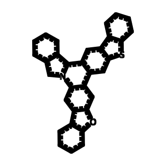 c1ccc2c(c1)cn1c3cc4c(cc3c3cc5sc6ccccc6c5cc3c21)oc1ccccc14